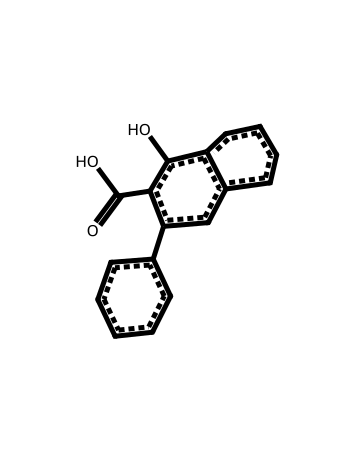 O=C(O)c1c(-c2ccccc2)cc2ccccc2c1O